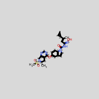 C/C(=C\C(=N/O)NC(=O)n1ccc2cc(Oc3ncnc4c3C[C@H](C)N(S(C)(=O)=O)C4)ccc21)C1CC1